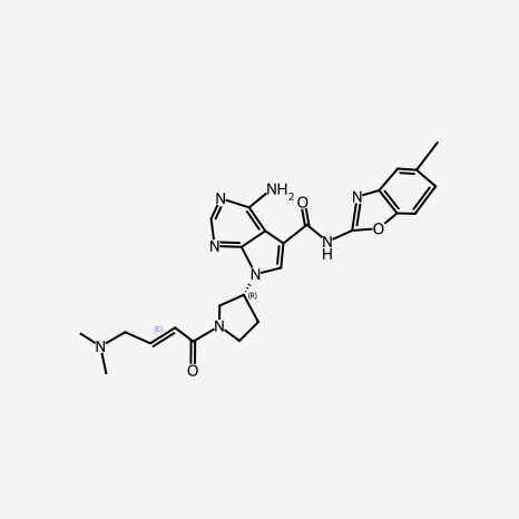 Cc1ccc2oc(NC(=O)c3cn([C@@H]4CCN(C(=O)/C=C/CN(C)C)C4)c4ncnc(N)c34)nc2c1